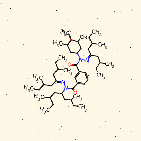 CCC(C)CC(CC(C)CC)=NN(C(=O)c1cccc(C(=O)N(N=C(CC(C)CC)CC(C)CC)C(CC(C)CC)CC(C)CC)c1)C(CC(C)CC)CC(C)CC